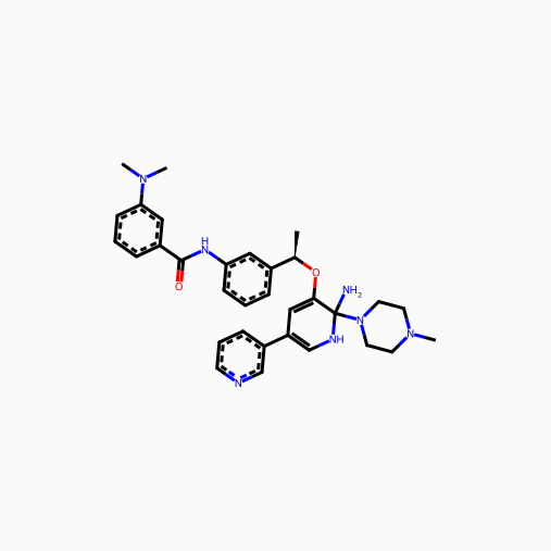 C[C@@H](OC1=CC(c2cccnc2)=CNC1(N)N1CCN(C)CC1)c1cccc(NC(=O)c2cccc(N(C)C)c2)c1